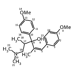 COc1ccc(C=C(C)C(O)(c2ccc(OC)cc2)C(C)CN(C)C)cc1